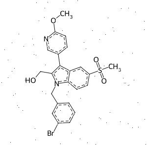 COc1ccc(-c2c(CO)n(Cc3cccc(Br)c3)c3ccc(S(C)(=O)=O)cc23)cn1